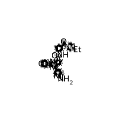 CCN1CCN(C(=O)c2cccc(NC(=O)n3ccc4c(-c5cnc(N)nc5)nc(N5CCOCC5)nc43)c2)CC1